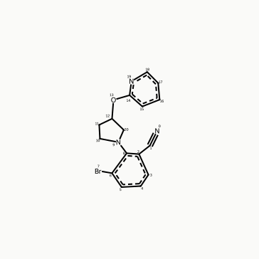 N#Cc1cccc(Br)c1N1CCC(Oc2ccccn2)C1